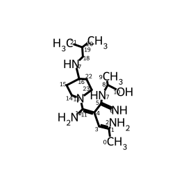 C/C(N)=C/C(C(=N)NC(C)O)=C(\N)N1CCC(NCC(C)C)CC1